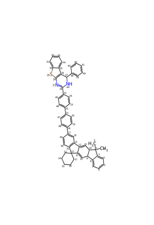 CC1(C)c2ccccc2C2C=C3C(=CC21)c1cc(-c2ccc(-c4ccc(C5=Nc6sc7ccccc7c6C(c6ccccc6)N5)cc4)cc2)ccc1C31CCCCC1